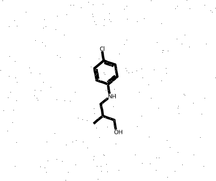 CC(CO)CNc1ccc(Cl)cc1